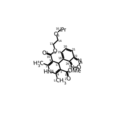 COC(=O)C1=C(C)NC(C)=C(C(=O)OCCOC(C)C)C1c1cccc2nonc12